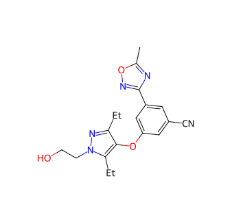 CCc1nn(CCO)c(CC)c1Oc1cc(C#N)cc(-c2noc(C)n2)c1